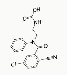 N#Cc1ccc(Cl)cc1C(=O)N(CCNC(=O)O)c1ccccc1